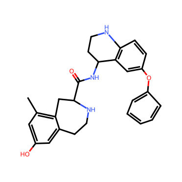 Cc1cc(O)cc2c1CC(C(=O)NC1CCNc3ccc(Oc4ccccc4)cc31)NCC2